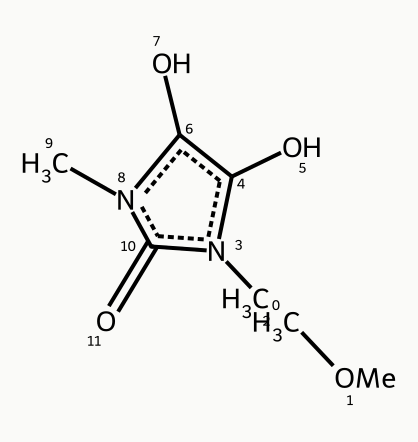 COC.Cn1c(O)c(O)n(C)c1=O